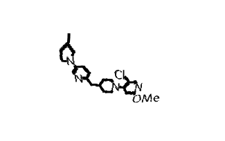 COc1cc(N2CCC(Cc3ccc(N4CCC(C)C4)cn3)CC2)c(Cl)cn1